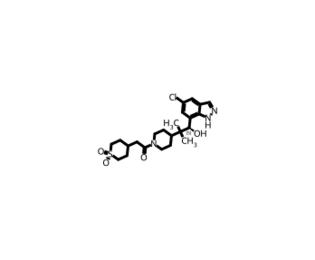 CC(C)(C1CCN(C(=O)CC2CCS(=O)(=O)CC2)CC1)[C@H](O)c1cc(Cl)cc2cn[nH]c12